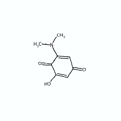 CN(C)C1=CC(=O)C=C(O)C1=O